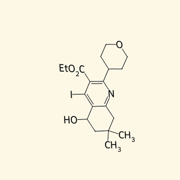 CCOC(=O)c1c(C2CCOCC2)nc2c(c1I)C(O)CC(C)(C)C2